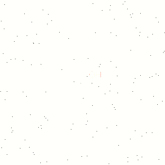 CC(C)CC(O)(CC(C)C)CC(C)C